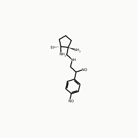 CC[C@]1(N)CCC[C@]1(N)CNCC(N=O)c1ccc(N=O)cc1